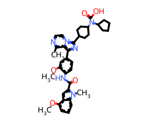 COc1cc(-c2nc(C3CCC(N(C(=O)O)C4CCCC4)CC3)n3ccnc(C)c23)ccc1NC(=O)c1cc2c(OC)cccc2n1C